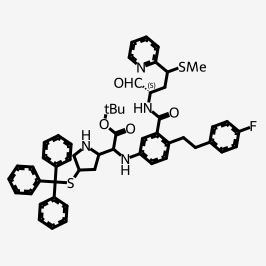 CSC(C[C@@H](C=O)NC(=O)c1cc(NC(C(=O)OC(C)(C)C)C2CC(SC(c3ccccc3)(c3ccccc3)c3ccccc3)CN2)ccc1CCc1ccc(F)cc1)c1ccccn1